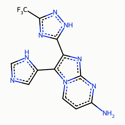 Nc1ccn2c(-c3cnc[nH]3)c(-c3nc(C(F)(F)F)n[nH]3)nc2n1